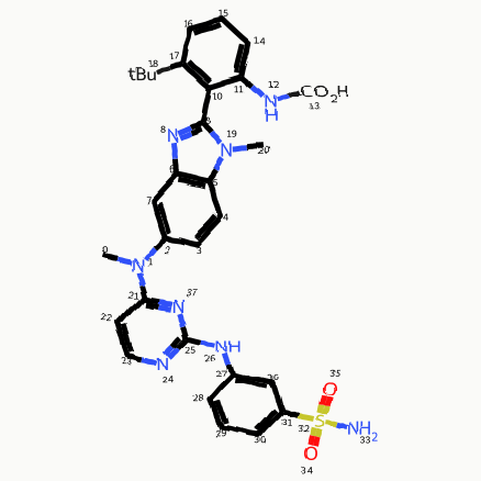 CN(c1ccc2c(c1)nc(-c1c(NC(=O)O)cccc1C(C)(C)C)n2C)c1ccnc(Nc2cccc(S(N)(=O)=O)c2)n1